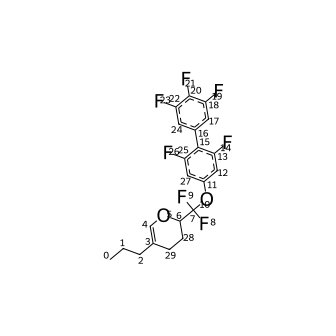 CCCC1=COC(C(F)(F)Oc2cc(F)c(-c3cc(F)c(F)c(F)c3)c(F)c2)CC1